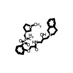 CN1CC[C@H](CN(C)S(=O)(=O)c2ccccc2OCC(=O)NC[C@@H](O)CN2CCc3ccccc3C2)C1